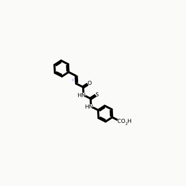 O=C(/C=C/c1ccccc1)NC(=S)Nc1ccc(C(=O)O)cc1